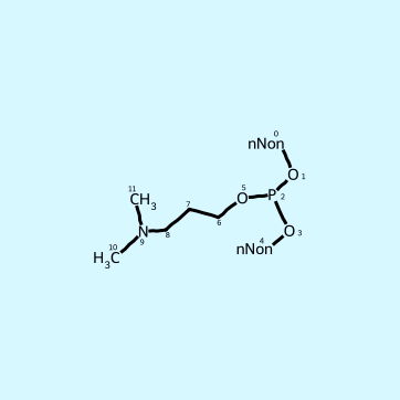 CCCCCCCCCOP(OCCCCCCCCC)OCCCN(C)C